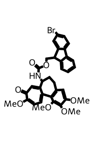 COc1cc2c(c(OC)c1OC)-c1ccc(OC)c(=O)cc1C(NC(=O)OCC1c3ccccc3-c3ccc(Br)cc31)CC2